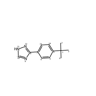 CC(C)(C)c1ccc(-c2n[c][nH]n2)cc1